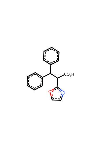 O=C(O)C(c1ncco1)C(c1ccccc1)c1ccccc1